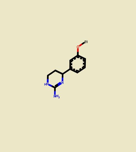 CCOc1cccc(C2CCNC(N)=N2)c1